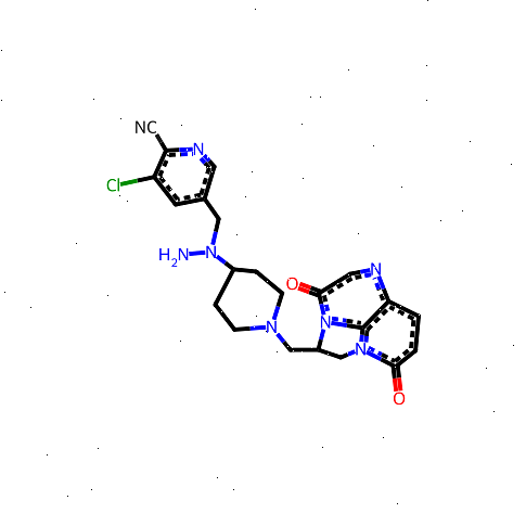 N#Cc1ncc(CN(N)C2CCN(CC3Cn4c(=O)ccc5ncc(=O)n3c54)CC2)cc1Cl